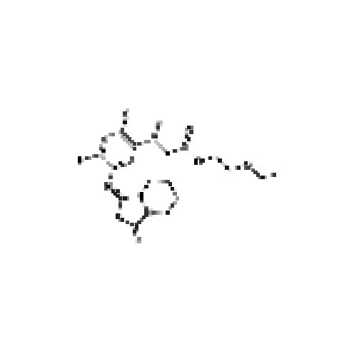 CCOCCOC(=O)CC(=S)c1cc(/N=c2/sc(=O)n3n2CCCC3)c(F)cc1Cl